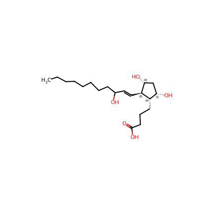 CCCCCCCCC(O)C=C[C@@H]1[C@@H](CCCC(=O)O)[C@@H](O)C[C@H]1O